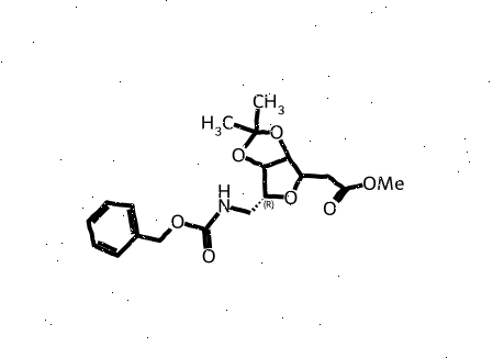 COC(=O)CC1O[C@H](CNC(=O)OCc2ccccc2)C2OC(C)(C)OC12